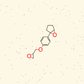 c1cc(C23CCCC2O3)ccc1OCC1CO1